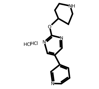 Cl.Cl.c1cncc(-c2cnc(OC3CCNCC3)nc2)c1